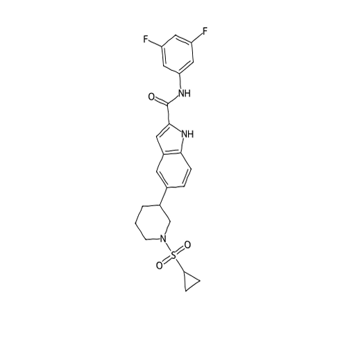 O=C(Nc1cc(F)cc(F)c1)c1cc2cc(C3CCCN(S(=O)(=O)C4CC4)C3)ccc2[nH]1